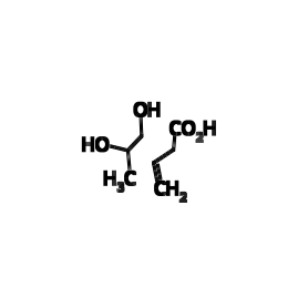 C=CCC(=O)O.CC(O)CO